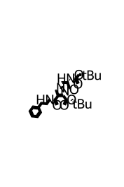 CC(C)(C)OC(=O)N[C@H]1CN2CC(C(=O)NCCc3ccccc3)=C(C(=O)OC(C)(C)C)N2C1=O